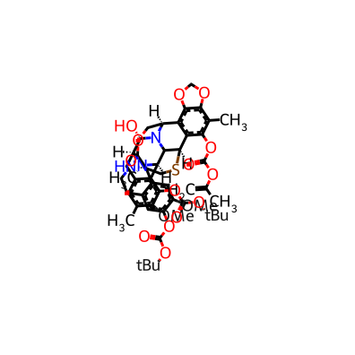 C=C(C)OC(=O)Oc1c(C)c2c(c3c1[C@H]1SC[C@]4(NCCc5cc(OC(=O)OC(C)(C)C)c(OC)cc54)C(=O)OC[C@@H]3N3C1[C@H]1c4c(cc(C)c(OC)c4OC(=O)OC(C)(C)C)C[C@@H]([C@@H]3O)N1C)OCO2